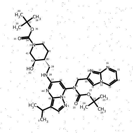 CC(C)c1cnn2c(N(Cc3cn4cccnc4n3)C(=O)OC(C)(C)C)cc(NC[C@H]3CCN(C(=O)OC(C)(C)C)C[C@@H]3O)nc12